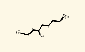 CCCC[CH]C(O)CCO